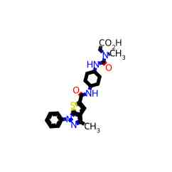 Cc1nn(-c2ccccc2)c2sc(C(=O)NC3CCC(NC(=O)N(C)CC(=O)O)CC3)cc12